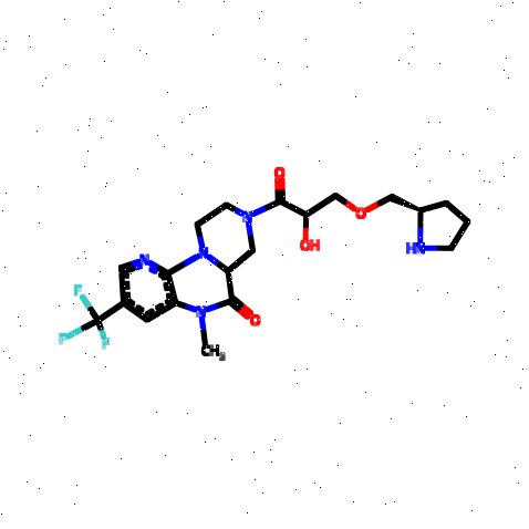 CN1C(=O)C2CN(C(=O)C(O)COC[C@H]3CCCN3)CCN2c2ncc(C(F)(F)F)cc21